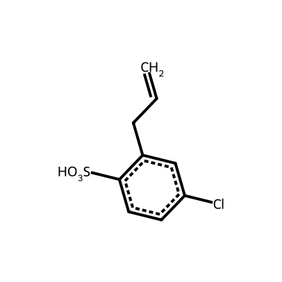 C=CCc1cc(Cl)ccc1S(=O)(=O)O